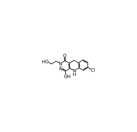 O=c1c2c(c(O)nn1CCO)Nc1cc(Cl)ccc1C2